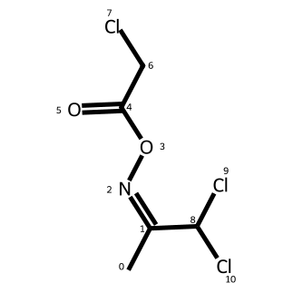 CC(=NOC(=O)CCl)C(Cl)Cl